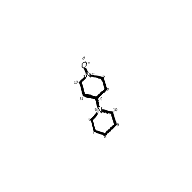 [O-][N+]1CCC(N2CCCCC2)CC1